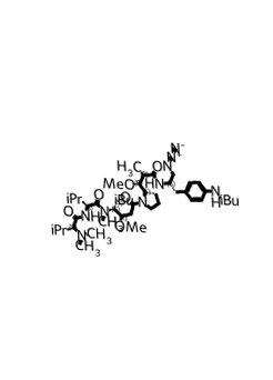 CCC(C)Nc1ccc(C[C@@H](CN=[N+]=[N-])NC(=O)[C@H](C)[C@@H](OC)[C@@H]2CCCN2C(=O)C[C@@H](OC)[C@H]([C@@H](C)CC)N(C)C(=O)[C@@H](NC(=O)[C@H](C(C)C)N(C)C)C(C)C)cc1